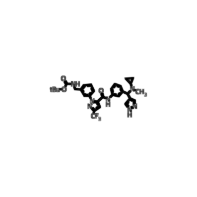 CN(C1CC1)C(c1cn[nH]c1)c1cccc(NC(=O)c2cc(C(F)(F)F)nn2-c2cccc(CNC(=O)OC(C)(C)C)c2)c1